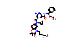 CCOC[C@H](NC(=O)[C@@H]1CNC[C@H](C(=O)N(c2ccc3c(c2)N(CCCOC)C(=O)C(C)(C)O3)C2CC2)C1)C1CCCCC1